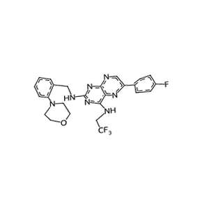 Fc1ccc(-c2cnc3nc(NCc4ccccc4N4CCOCC4)nc(NCC(F)(F)F)c3n2)cc1